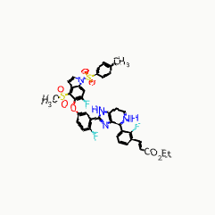 CCOC(=O)/C=C/c1cccc(C2NCCc3[nH]c(-c4cc(Oc5c(F)cc6c(ccn6S(=O)(=O)c6ccc(C)cc6)c5S(C)(=O)=O)ccc4F)nc32)c1F